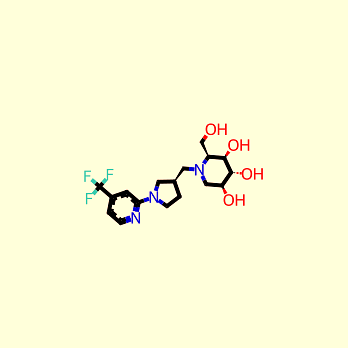 OC[C@H]1[C@@H](O)[C@H](O)[C@@H](O)CN1C[C@H]1CCN(c2cc(C(F)(F)F)ccn2)C1